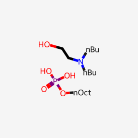 CCCCCCCCOP(=O)(O)O.CCCCN(CCO)CCCC